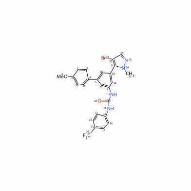 COc1ccc(-c2cc(NC(=O)Nc3ccc(C(F)(F)F)cc3)cc(-c3c(Br)cnn3C)c2)cc1